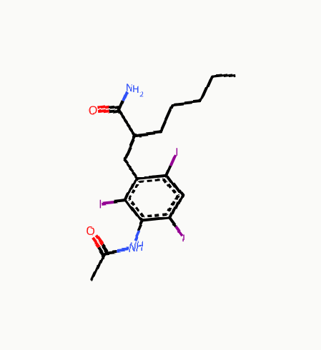 CCCCCC(Cc1c(I)cc(I)c(NC(C)=O)c1I)C(N)=O